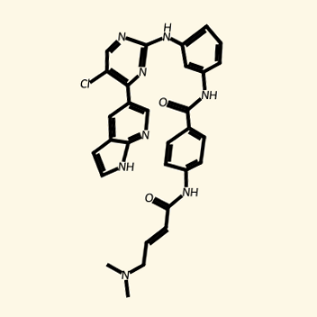 CN(C)C/C=C/C(=O)Nc1ccc(C(=O)Nc2cccc(Nc3ncc(Cl)c(-c4cnc5[nH]ccc5c4)n3)c2)cc1